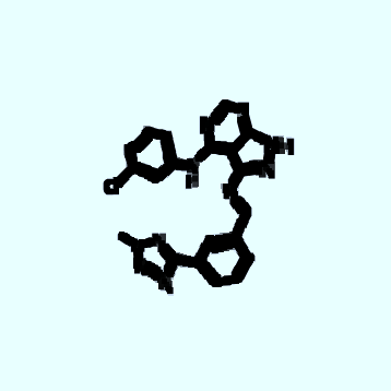 Cn1nnc(-c2cccc(C=Nc3n[nH]c4ncnc(Nc5cccc(Cl)c5)c34)c2)n1